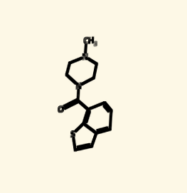 CN1CCN(C(=O)c2cccc3ccsc23)CC1